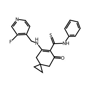 O=C1CC2(CC2)CC(NCc2ccncc2F)=C1C(=S)Nc1ccccc1